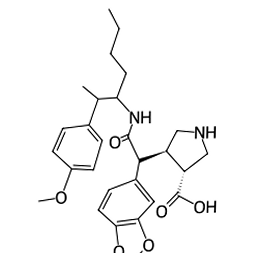 CCCCC(NC(=O)C(c1ccc2c(c1)OCO2)[C@H]1CNC[C@@H]1C(=O)O)C(C)c1ccc(OC)cc1